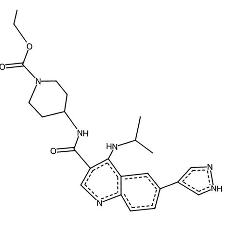 CCOC(=O)N1CCC(NC(=O)c2cnc3ccc(-c4cn[nH]c4)cc3c2NC(C)C)CC1